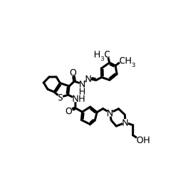 Cc1ccc(C=NNC(=O)c2c(NC(=O)c3cccc(CN4CCN(CCO)CC4)c3)sc3c2CCCC3)cc1C